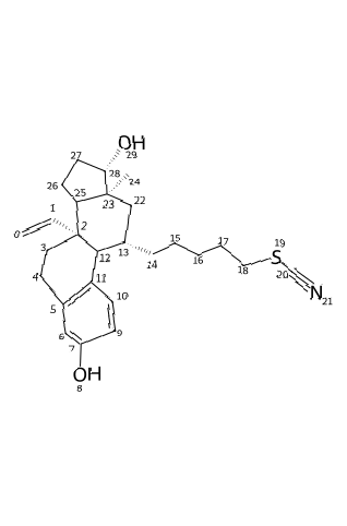 C=C[C@@]12CCc3cc(O)ccc3C1[C@@H](CCCCCSC#N)C[C@@]1(C)C2CC[C@@H]1O